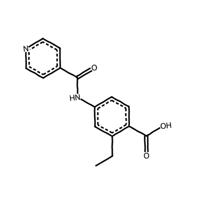 CCc1cc(NC(=O)c2ccncc2)ccc1C(=O)O